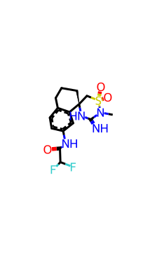 CN1C(=N)N[C@@]2(CCCc3ccc(NC(=O)C(F)F)cc32)CS1(=O)=O